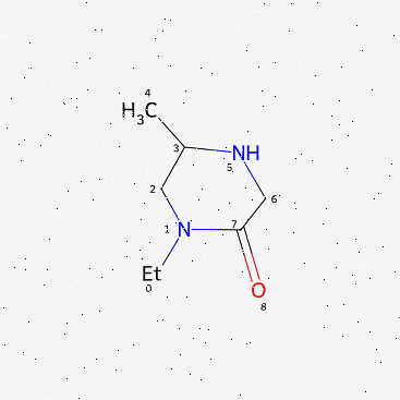 CCN1CC(C)NCC1=O